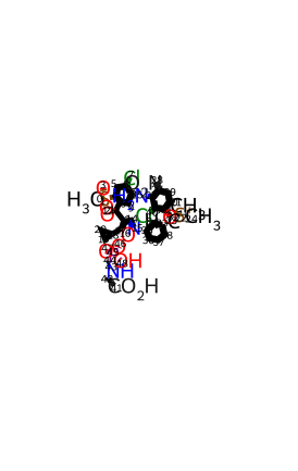 CS(=O)(=O)c1cc(Cl)ccc1C(=O)c1cnoc1C1CC1.C[S+](C)C.Nc1c([N+](=O)[O-])ccc(Oc2ccccc2)c1Cl.O=C(O)CNCP(=O)([O-])O